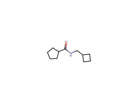 O=C(NCC1CCC1)C1CCCC1